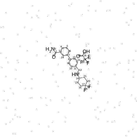 NC(=O)c1cccc(-c2ccc(CNC3CCC(F)(F)CC3)cc2)c1.O=C(O)C(F)(F)F